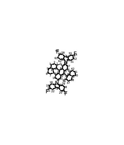 Cc1ccc2ccccc2c1-c1c2ccc(-n3c4ccc(F)cc4c4cc(F)ccc43)cc2c(-c2c(C)ccc3ccccc23)c2ccc(-n3c4ccc(F)cc4c4cc(F)ccc43)cc12